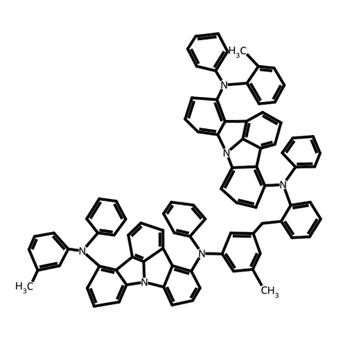 Cc1cccc(N(c2ccccc2)c2cccc3c2c2cccc4c5c(N(c6ccccc6)c6cc(C)cc(Cc7ccccc7N(c7ccccc7)c7cccc8c7c7cccc9c%10c(N(c%11ccccc%11)c%11ccccc%11C)cccc%10n8c97)c6)cccc5n3c24)c1